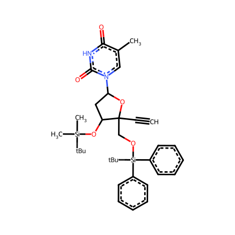 C#CC1(CO[Si](c2ccccc2)(c2ccccc2)C(C)(C)C)OC(n2cc(C)c(=O)[nH]c2=O)CC1O[Si](C)(C)C(C)(C)C